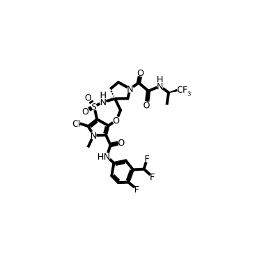 C[C@@H](NC(=O)C(=O)N1CC[C@@]2(COc3c(c(Cl)n(C)c3C(=O)Nc3ccc(F)c(C(F)F)c3)S(=O)(=O)N2)C1)C(F)(F)F